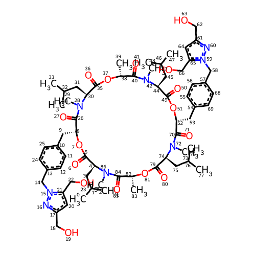 CC(C)C[C@H]1C(=O)O[C@H](Cc2ccc(Cn3nc(CO)cc3CO)cc2)C(=O)N(C)[C@@H](CC(C)C)C(=O)O[C@H](C)C(=O)N(C)[C@@H](CC(C)C)C(=O)O[C@H](Cc2ccc(Cn3nc(CO)cc3CO)cc2)C(=O)N(C)[C@@H](CC(C)C)C(=O)O[C@H](C)C(=O)N1C